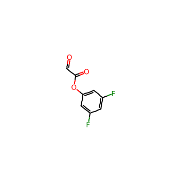 O=CC(=O)Oc1cc(F)cc(F)c1